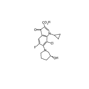 O=C(O)c1cn(C2CC2)c2c(Cl)c(N3CCC[C@H](O)C3)c(F)cc2c1=O